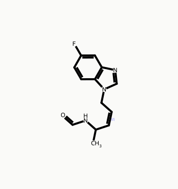 CC(/C=C\Cn1cnc2cc(F)ccc21)NC=O